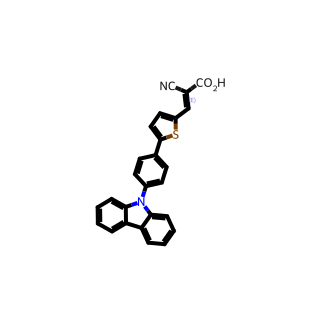 N#C/C(=C\c1ccc(-c2ccc(-n3c4ccccc4c4ccccc43)cc2)s1)C(=O)O